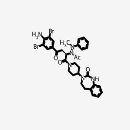 CC(=O)N([C@H](CC(=O)c1cc(Br)c(N)c(Br)c1)C(=O)N1CCC(N2CCc3ccccc3NC2=O)CC1)N(C)c1ccccc1